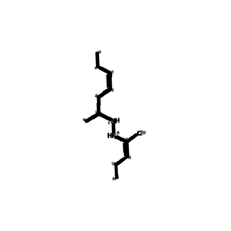 CC/C=C\CC(C)NN/C(Cl)=C\CC